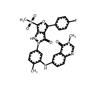 Cc1ccc(-n2[nH]c3c(S(C)(=O)=O)oc(-c4ccc(F)cc4)c3c2=O)cc1Nc1ccc2ncn(C)c(=O)c2c1